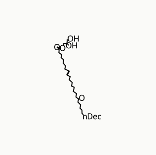 CCCCCCCCCCCCCCCC(=O)CCCCCCCCC=CCCCCCCCC(=O)OCC(O)CO